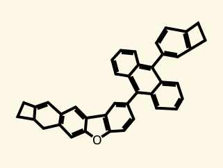 C1=C2CCC2Cc2cc3oc4ccc(-c5c6ccccc6c(-c6ccc7c(c6)CC7)c6ccccc56)cc4c3cc21